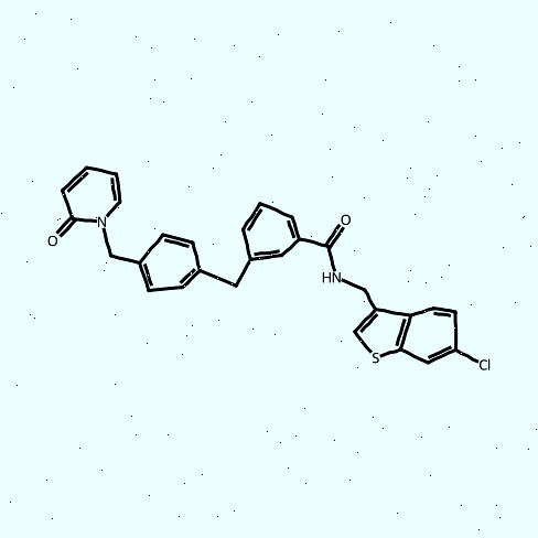 O=C(NCc1csc2cc(Cl)ccc12)c1cccc(Cc2ccc(Cn3ccccc3=O)cc2)c1